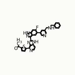 CC(=O)c1ccc(-c2nccc3[nH]c(-c4n[nH]c5cc(F)c(-c6cncc(CNCc7ccccc7)c6)cc45)nc23)s1